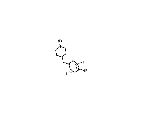 CC(C)(C)N1CCC(CN2C[C@@H]3C[C@H]2CN3C(C)(C)C)CC1